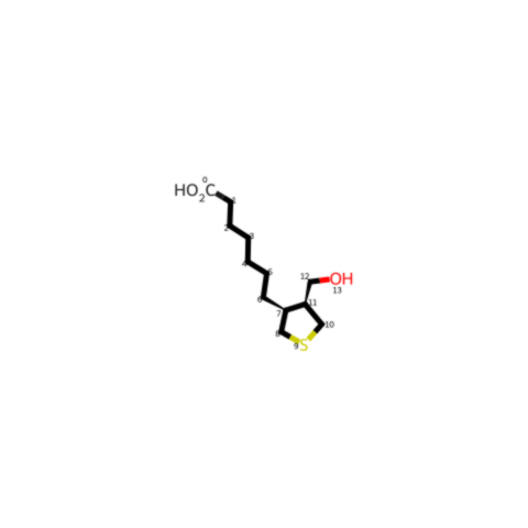 O=C(O)CCCCCC[C@@H]1CSC[C@@H]1CO